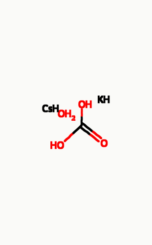 O.O=C(O)O.[CsH].[KH]